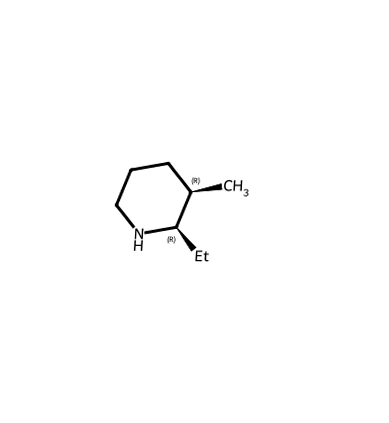 CC[C@H]1NCCC[C@H]1C